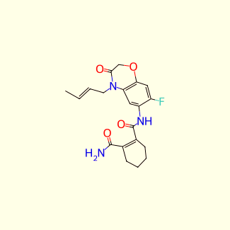 CC=CCN1C(=O)COc2cc(F)c(NC(=O)C3=C(C(N)=O)CCCC3)cc21